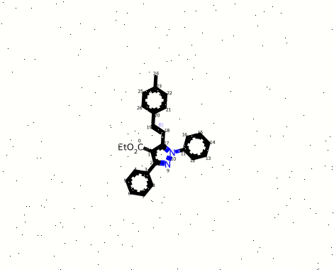 CCOC(=O)c1c(-c2ccccc2)nn(-c2ccccc2)c1/C=C/c1ccc(C)cc1